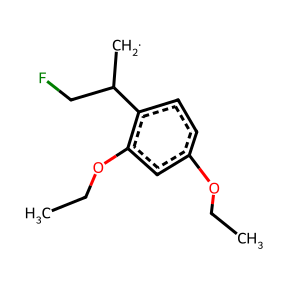 [CH2]C(CF)c1ccc(OCC)cc1OCC